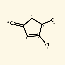 O=C1C=C(Cl)C(O)C1